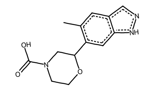 Cc1cc2cn[nH]c2cc1C1CN(C(=O)O)CCO1